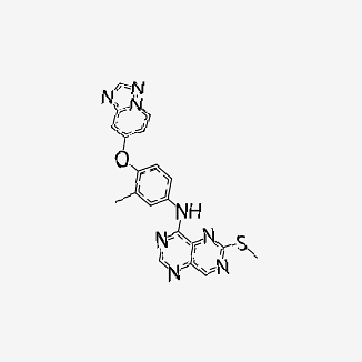 CSc1ncc2ncnc(Nc3ccc(Oc4ccn5ncnc5c4)c(C)c3)c2n1